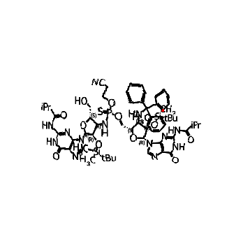 CC(C)C(=O)Nc1nc2c(ncn2[C@@H]2O[C@H](COP(=S)(N[C@H]3[C@@H](O[Si](C)(C)C(C)(C)C)[C@H](n4cnc5c(=O)[nH]c(NC(=O)C(C)C)nc54)O[C@@H]3CO)OCCC#N)[C@@H](NC(c3ccccc3)(c3ccccc3)c3ccccc3)[C@H]2O[Si](C)(C)C(C)(C)C)c(=O)[nH]1